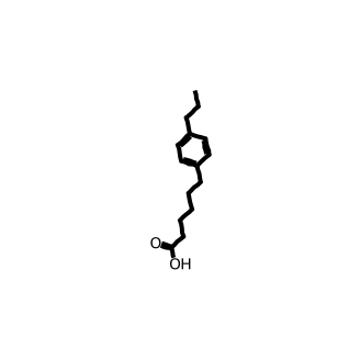 CCCc1ccc(CCCCCC(=O)O)cc1